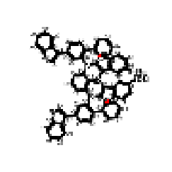 CC(C)(C)c1ccc2oc3c(c2c1)B1c2c(cccc2N(c2cc(-c4csc5ccccc45)ccc2-c2ccccc2)c2oc4ccc(C(C)(C)C)cc4c21)N3c1cc(-c2csc3ccccc23)ccc1-c1ccccc1